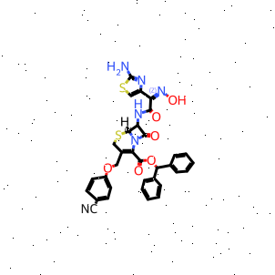 N#Cc1ccc(OCC2=C(C(=O)OC(c3ccccc3)c3ccccc3)N3C(=O)C(NC(=O)/C(=N\O)c4csc(N)n4)[C@H]3SC2)cc1